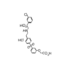 Cl.O=C(O)COc1cccc(S(=O)(=O)c2ccc(CCNC[C@H](O)c3cccc(Cl)c3)cc2)c1